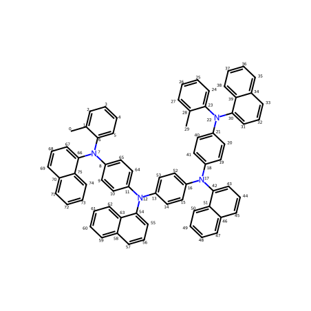 Cc1ccccc1N(c1ccc(N(c2ccc(N(c3ccc(N(c4ccccc4C)c4cccc5ccccc45)cc3)c3cccc4ccccc34)cc2)c2cccc3ccccc23)cc1)c1cccc2ccccc12